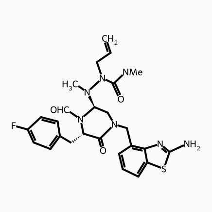 C=CCN(C(=O)NC)N(C)[C@H]1CN(Cc2cccc3sc(N)nc23)C(=O)[C@H](Cc2ccc(F)cc2)N1C=O